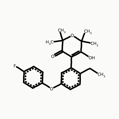 CCc1ccc(Oc2ccc(F)cc2)cc1C1=C(O)C(C)(C)OC(C)(C)C1=O